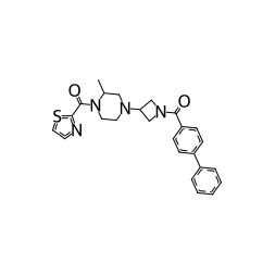 CC1CN(C2CN(C(=O)c3ccc(-c4ccccc4)cc3)C2)CCN1C(=O)c1nccs1